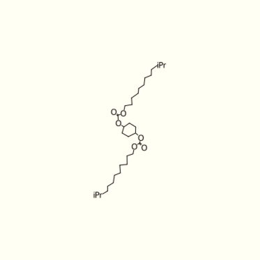 CC(C)CCCCCCCCCOC(=O)OC1CCC(OC(=O)OCCCCCCCCCC(C)C)CC1